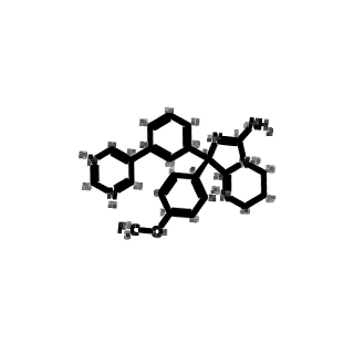 NC1=N[C@@](c2ccc(OC(F)(F)F)cc2)(c2cccc(-c3cncnc3)c2)C2=NCCCN12